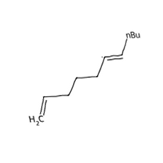 C=CCCC/[C]=C/CCCC